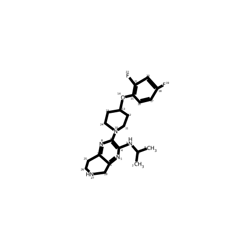 CC(C)Nc1nc2c(nc1N1CCC(Oc3ccc(F)cc3F)CC1)CCNC2